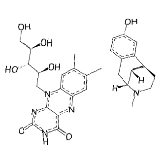 CN1CC[C@]23CCCC[C@H]2[C@H]1Cc1ccc(O)cc13.Cc1cc2nc3c(=O)[nH]c(=O)nc-3n(C[C@H](O)[C@H](O)[C@H](O)CO)c2cc1C